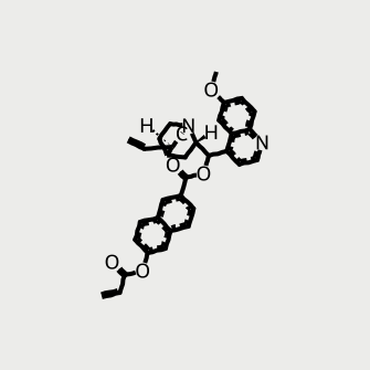 C=CC(=O)Oc1ccc2cc(C(=O)OC(c3ccnc4ccc(OC)cc34)[C@@H]3CC4CCN3C[C@@H]4C=C)ccc2c1